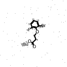 CC(C)(C)OC(=O)CCOc1c(F)cccc1Br